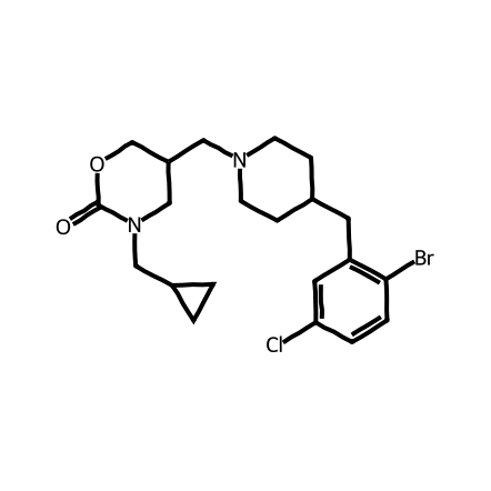 O=C1OCC(CN2CCC(Cc3cc(Cl)ccc3Br)CC2)CN1CC1CC1